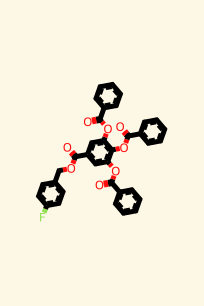 O=C(OCc1ccc(F)cc1)c1cc(OC(=O)c2ccccc2)c(OC(=O)c2ccccc2)c(OC(=O)c2ccccc2)c1